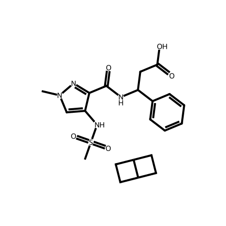 C1CC2CCC12.Cn1cc(NS(C)(=O)=O)c(C(=O)NC(CC(=O)O)c2ccccc2)n1